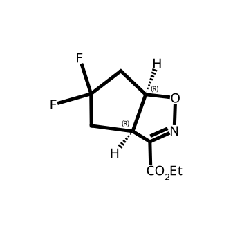 CCOC(=O)C1=NO[C@@H]2CC(F)(F)C[C@H]12